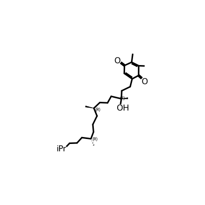 CC1=C(C)C(=O)C(CC[C@](C)(O)CCC[C@H](C)CCC[C@H](C)CCCC(C)C)=CC1=O